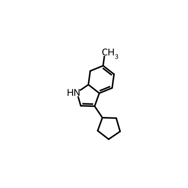 CC1=CC=C2C(C3CCCC3)=CNC2C1